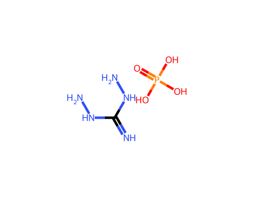 N=C(NN)NN.O=P(O)(O)O